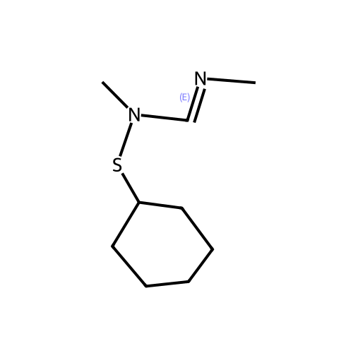 C/N=C/N(C)SC1CCCCC1